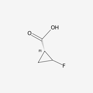 O=C(O)[C@H]1CC1F